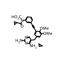 C1CC1.COc1cc(Cc2cnc(N)nc2N)cc(C#Cc2cccc(N(C(=O)O)C(=O)C3CC3)c2)c1OC